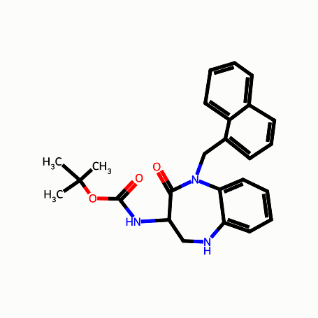 CC(C)(C)OC(=O)NC1CNc2ccccc2N(Cc2cccc3ccccc23)C1=O